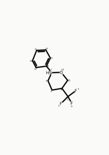 FC(F)(F)C1CC[SiH](c2ccccc2)OC1